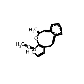 C=C=N/C1=C(\C=C/C)C/C=c2/cccc/c2=C/C(=C)O1